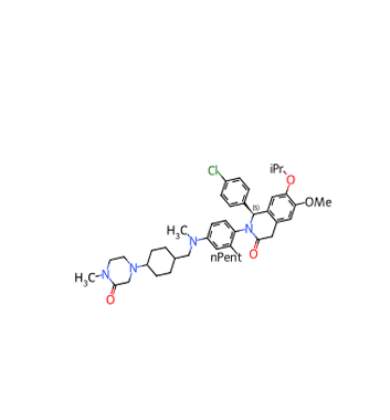 CCCCCc1cc(N(C)CC2CCC(N3CCN(C)C(=O)C3)CC2)ccc1N1C(=O)Cc2cc(OC)c(OC(C)C)cc2[C@@H]1c1ccc(Cl)cc1